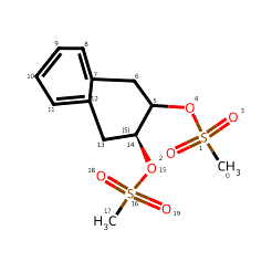 CS(=O)(=O)OC1Cc2ccccc2C[C@@H]1OS(C)(=O)=O